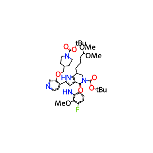 COc1c(F)cccc1Nc1c(-c2ccncc2OCC2CCN(C(=O)OC(C)(C)C)CC2)[nH]c2c1C(=O)N(C(=O)OC(C)(C)C)CC2CCCC(OC)OC